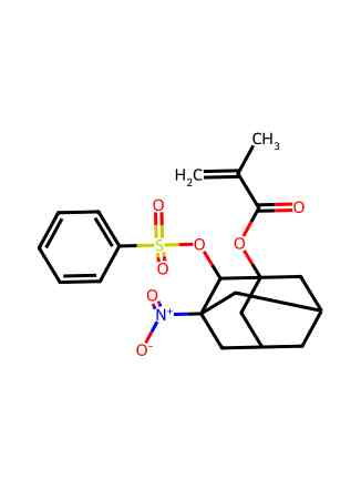 C=C(C)C(=O)OC12CC3CC(C1)CC([N+](=O)[O-])(C3)C2OS(=O)(=O)c1ccccc1